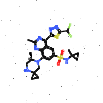 Cc1nc(-c2nnc(C(F)F)s2)c2cc(S(=O)(=O)NC3(C)CC3)cc(N3CC4(CC4)NC[C@H]3C)c2n1